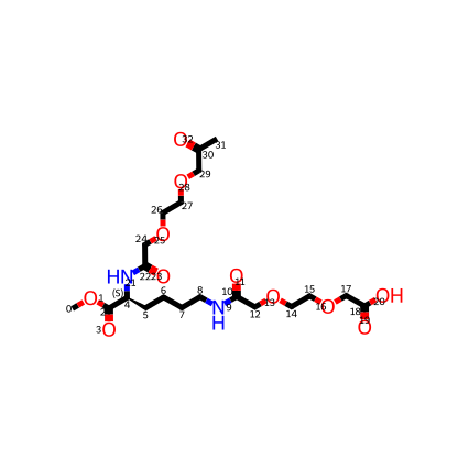 COC(=O)[C@H](CCCCNC(=O)COCCOCC(=O)O)NC(=O)COCCOCC(C)=O